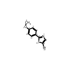 COc1ccc(-c2ncc(Br)s2)cc1